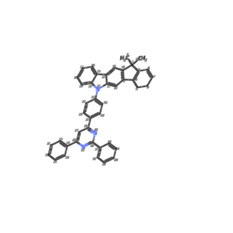 CC1(C)C2=C(CCC=C2)c2cc3c(cc21)c1ccccc1n3-c1ccc(-c2cc(-c3ccccc3)nc(-c3ccccc3)n2)cc1